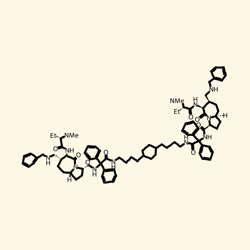 CC[C@H](NC)C(=O)N[C@@H]1C(=O)N2[C@@H](CC[C@@H]1CNCc1ccccc1)CC[C@H]2C(=O)NC(C(=O)NCCCCC1CCC(CCCCNC(=O)C(NC(=O)[C@@H]2CC[C@@H]3CC[C@H](CNCc4ccccc4)[C@H](NC(=O)[C@H](CC)NC)C(=O)N32)(c2ccccc2)c2ccccc2)CC1)(c1ccccc1)c1ccccc1